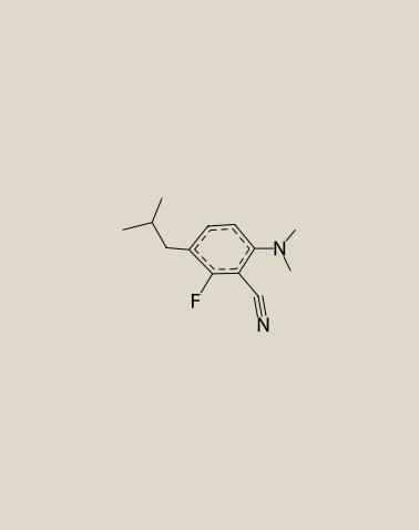 CC(C)Cc1ccc(N(C)C)c(C#N)c1F